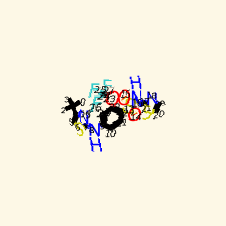 CC(C)(C)c1csc(Nc2ccc(S(=O)(=O)Nc3nccs3)c(OC(F)(F)F)c2)n1